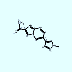 Cn1cc(-c2cnc3nc(C(N)=O)cn3c2)cn1